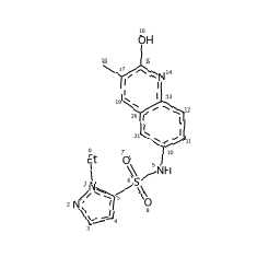 CCn1nccc1S(=O)(=O)Nc1ccc2nc(O)c(C)cc2c1